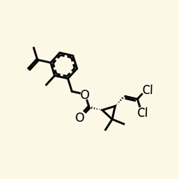 C=C(C)c1cccc(COC(=O)[C@@H]2[C@H](C=C(Cl)Cl)C2(C)C)c1C